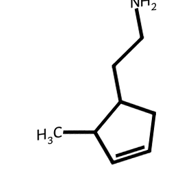 CC1C=CCC1CCN